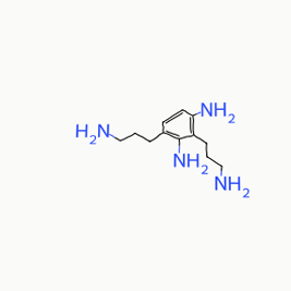 NCCCc1ccc(N)c(CCCN)c1N